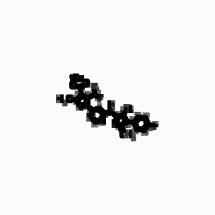 CCc1c(Nc2cc(-n3nc(C)c(C(=O)OC(C)(C)C)c3C(F)F)ncn2)nn(C)c1-c1ccc(F)cc1